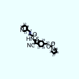 N#Cc1c(NC(=O)/C=C/c2cccnc2)sc2c1CCC(COC(=O)N1CC=CC1)C2